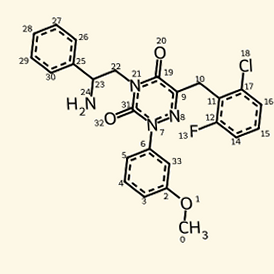 COc1cccc(-n2nc(Cc3c(F)cccc3Cl)c(=O)n(CC(N)c3ccccc3)c2=O)c1